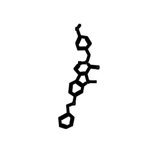 COc1ccc(Cn2ncc3c4ccc(OCc5ccccc5)cc4n(C)c3c2=O)cc1